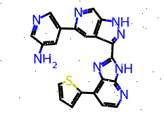 Nc1cncc(-c2cc3c(-c4nc5c(-c6cccs6)ccnc5[nH]4)n[nH]c3cn2)c1